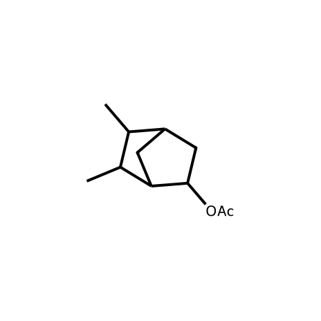 CC(=O)OC1CC2CC1C(C)C2C